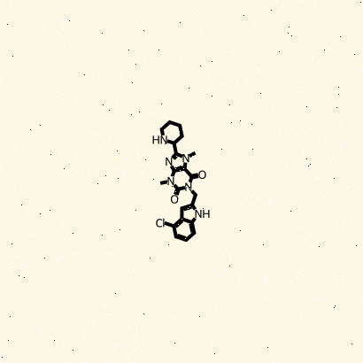 Cn1c(C2CCCCN2)nc2c1c(=O)n(Cc1cc3c(Cl)cccc3[nH]1)c(=O)n2C